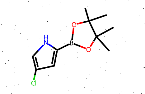 CC1(C)OB(c2cc(Cl)c[nH]2)OC1(C)C